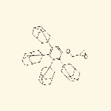 c1c(OCC2CO2)c(C23CC4CC(CC(C4)C2)C3)c(C23CC4CC(CC(C4)C2)C3)c(C23CC4CC(CC(C4)C2)C3)c1C12CC3CC(CC(C3)C1)C2